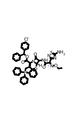 CCO/N=C(/C(=O)NC1C(=O)N2C(C(=O)OC(c3ccccc3)c3ccccc3)=C(C[P+](c3ccccc3)(c3ccccc3)c3ccccc3)CS[C@H]12)c1nsc(N)n1.[Cl-]